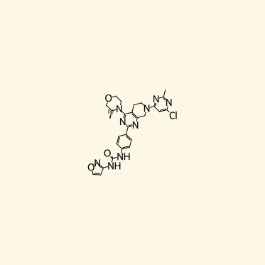 Cc1nc(Cl)cc(N2CCc3c(nc(-c4ccc(NC(=O)Nc5ccon5)cc4)nc3N3CCOC[C@@H]3C)C2)n1